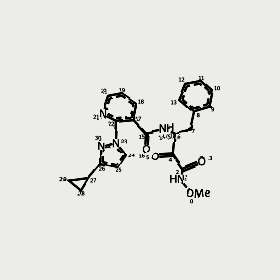 CONC(=O)C(=O)[C@H](Cc1ccccc1)NC(=O)c1cccnc1-n1ccc(C2CC2)n1